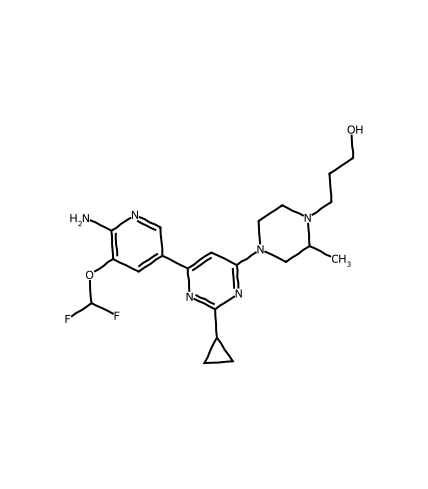 CC1CN(c2cc(-c3cnc(N)c(OC(F)F)c3)nc(C3CC3)n2)CCN1CCCO